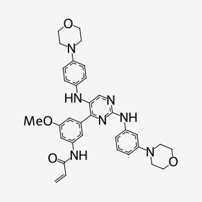 C=CC(=O)Nc1cc(OC)cc(-c2nc(Nc3cccc(N4CCOCC4)c3)ncc2Nc2ccc(N3CCOCC3)cc2)c1